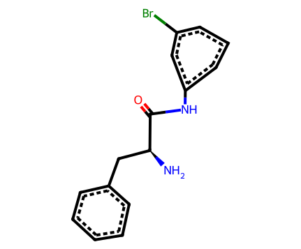 N[C@@H](Cc1ccccc1)C(=O)Nc1cccc(Br)c1